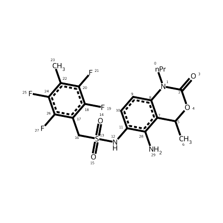 CCCN1C(=O)OC(C)c2c1ccc(NS(=O)(=O)Cc1c(F)c(F)c(C)c(F)c1F)c2N